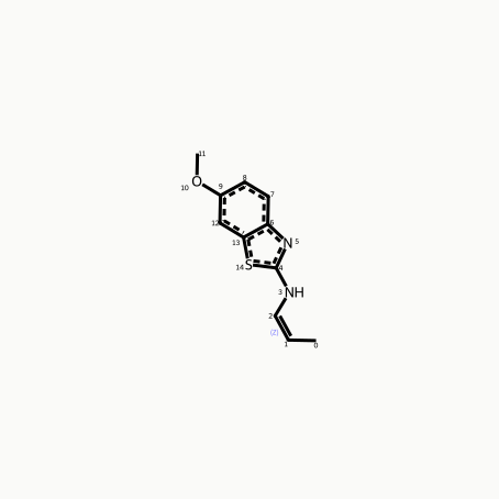 C/C=C\Nc1nc2ccc(OC)cc2s1